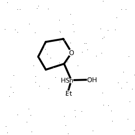 C[CH2][SnH]([OH])[CH]1CCCCO1